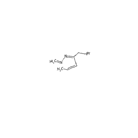 C=N/N=C(\C=C/C)CC(C)C